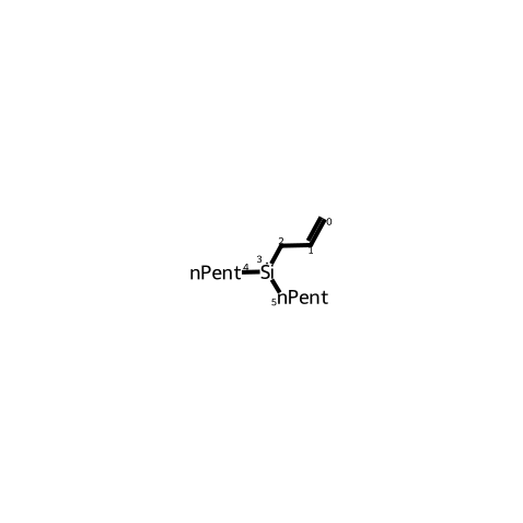 C=CC[Si](CCCCC)CCCCC